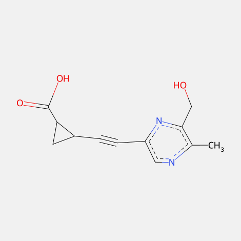 Cc1ncc(C#CC2CC2C(=O)O)nc1CO